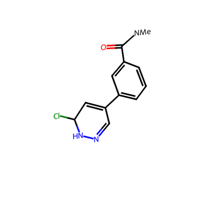 CNC(=O)c1cccc(C2=CC(Cl)NN=C2)c1